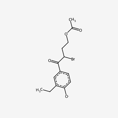 CCc1cc(C(=O)C(Br)CCOC(C)=O)ccc1[O]